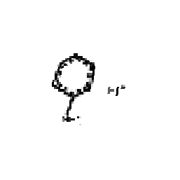 [Hf+4].[NH3+]c1ccccc1